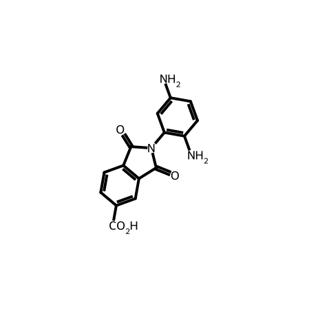 Nc1ccc(N)c(N2C(=O)c3ccc(C(=O)O)cc3C2=O)c1